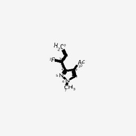 C=CC(F)c1nn(C)cc1C(C)=O